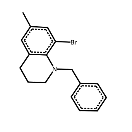 Cc1cc(Br)c2c(c1)CCCN2Cc1ccccc1